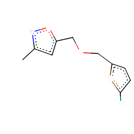 Cc1cc(COCc2ccc(Cl)s2)on1